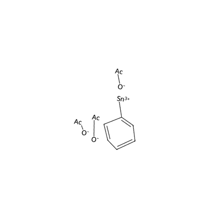 CC(=O)[O-].CC(=O)[O-].CC(=O)[O-].[Sn+3][c]1ccccc1